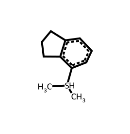 C[SH](C)c1cccc2c1CCC2